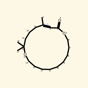 C/C1=C\C(=O)OCCCCCCCCCOC(C)(C)CCC1